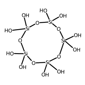 O[Si]1(O)O[Si](O)(O)O[Si](O)(O)O[Si](O)(O)O[Si](O)(O)O1